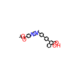 CC(c1ccc(-c2ccc(-c3cc(C=O)c(O)c4c3C=CCC4)cc2)cc1)N1CCN(c2ccc(C(=O)OC(C)(C)C)cc2)CC1